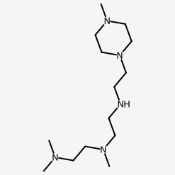 CN(C)CCN(C)CCNCCN1CCN(C)CC1